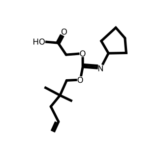 C=CCC(C)(C)COC(=NC1CCCC1)OCC(=O)O